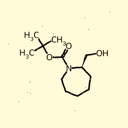 CC(C)(C)OC(=O)N1CCCCC[C@@H]1CO